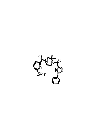 C[S+]([O-])c1cccc(C(=O)N2CCN(C(=O)c3ncn(-c4ccccc4)n3)C(C)(C)C2)n1